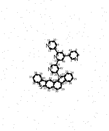 c1cncc(-c2cc(-c3cccnc3)nc(-c3cncc(-n4c5ccccc5c5ccc6cc7sc8ccccc8c7cc6c54)c3)c2)c1